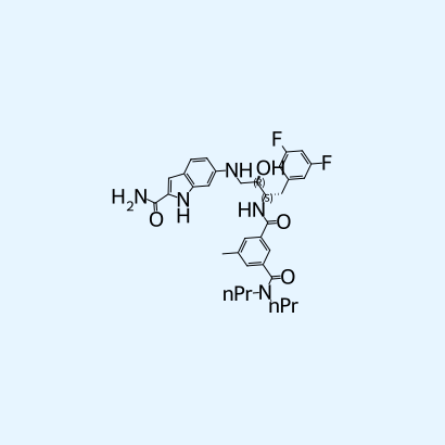 CCCN(CCC)C(=O)c1cc(C)cc(C(=O)N[C@@H](Cc2cc(F)cc(F)c2)[C@H](O)CNc2ccc3cc(C(N)=O)[nH]c3c2)c1